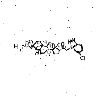 COC[C@@]1(O)CC[C@@]2(C)[C@@H](CC[C@@H]3[C@@H]2CC[C@]2(C)[C@@H](C(=O)Cn4nnc5ccc(Cl)cc54)CC[C@@H]32)C1